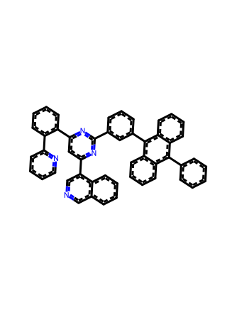 c1ccc(-c2c3ccccc3c(-c3cccc(-c4nc(-c5ccccc5-c5ccccn5)cc(-c5cncc6ccccc56)n4)c3)c3ccccc23)cc1